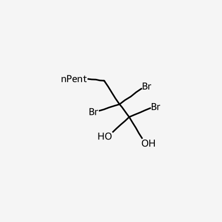 CCCCCCC(Br)(Br)C(O)(O)Br